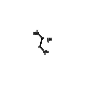 C[CH]CCCCCCCC.[LiH]